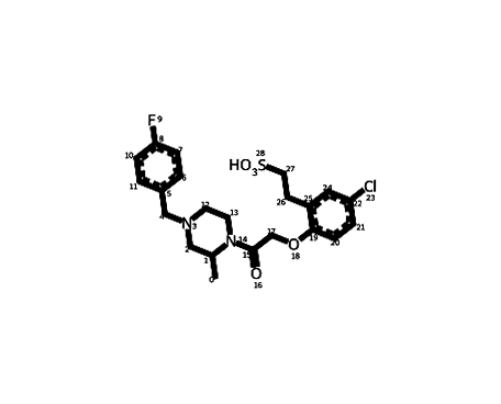 CC1CN(Cc2ccc(F)cc2)CCN1C(=O)COc1ccc(Cl)cc1CCS(=O)(=O)O